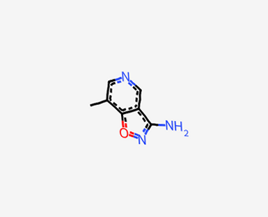 Cc1cncc2c(N)noc12